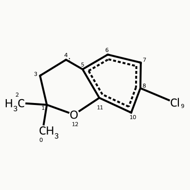 CC1(C)C[C]c2ccc(Cl)cc2O1